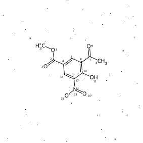 COC(=O)c1cc(C(C)=O)c(O)c([N+](=O)[O-])c1